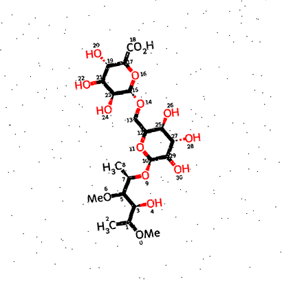 COC(C)[C@H](O)C(OC)[C@@H](C)O[C@H]1OC(CO[C@H]2OC(C(=O)O)[C@@H](O)C(O)[C@@H]2O)[C@@H](O)[C@H](O)C1O